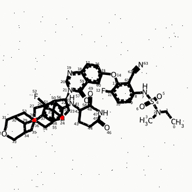 CCN(C)S(=O)(=O)Nc1ccc(F)c(Oc2ccc3ncn([C@H]4COC5(CCN(C6C7COCC6CC(c6ccc(NC8CCC(=O)NC8=O)cc6F)C7)CC5)C4)c(=O)c3c2)c1C#N